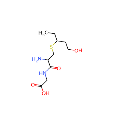 CCC(CCO)SCC(N)C(=O)NCC(=O)O